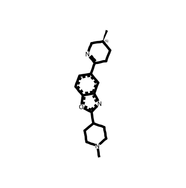 C[C@H]1CCC(c2ccc3oc(C4CCN(C)CC4)nc3c2)=NC1